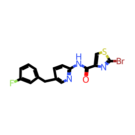 O=C(Nc1ccc(Cc2cccc(F)c2)cn1)c1csc(Br)n1